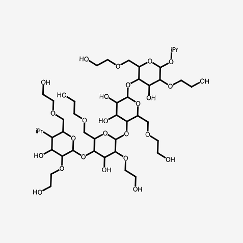 CC(C)OC1OC(COCCO)C(OC2OC(COCCO)C(OC3OC(COCCO)C(OC4OC(COCCO)C(C(C)C)C(O)C4OCCO)C(O)C3OCCO)C(O)C2O)C(O)C1OCCO